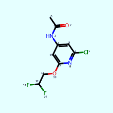 CC(=O)Nc1cc(Cl)nc(OCC(F)F)c1